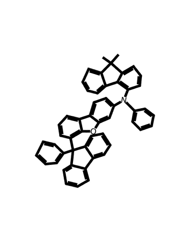 CC1(C)c2ccccc2-c2c(N(c3ccccc3)c3ccc4c(c3)oc3c(C5(c6ccccc6)c6ccccc6-c6ccccc65)cccc34)cccc21